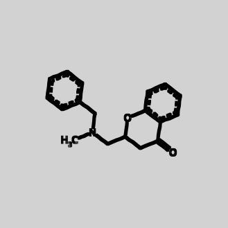 CN(Cc1ccccc1)CC1CC(=O)c2ccccc2O1